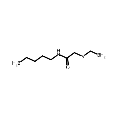 BCCCCNC(=O)CSCB